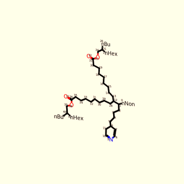 CCCCCCCCCC(CCCCC1C=CN=CC1)C(CCCCCCCCC(=O)OCC(CCCC)CCCCCC)CCCCCCCCC(=O)OCC(CCCC)CCCCCC